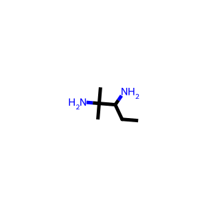 CCC(N)C(C)(C)N